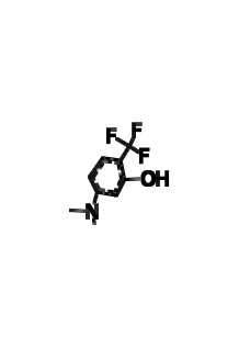 CN(C)c1ccc(C(F)(F)F)c(O)c1